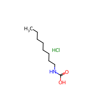 CCCCCCCCNC(=O)O.Cl